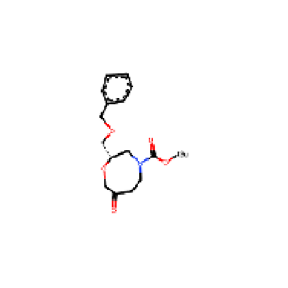 CC(C)(C)OC(=O)N1CCC(=O)CO[C@H](COCc2ccccc2)C1